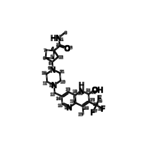 CNC(=O)C12CC(C1)C(N1CCN(Cc3cnc4c(c3)NC(O)C(C(F)(F)F)=C4C)CC1)C2